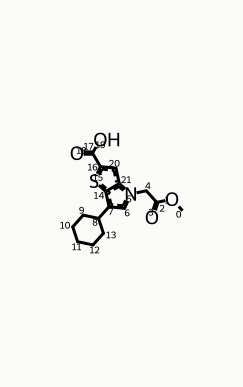 COC(=O)Cn1cc(C2CCCCC2)c2sc(C(=O)O)cc21